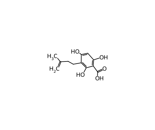 C=C(C)CCc1c(O)cc(O)c(C(=O)O)c1O